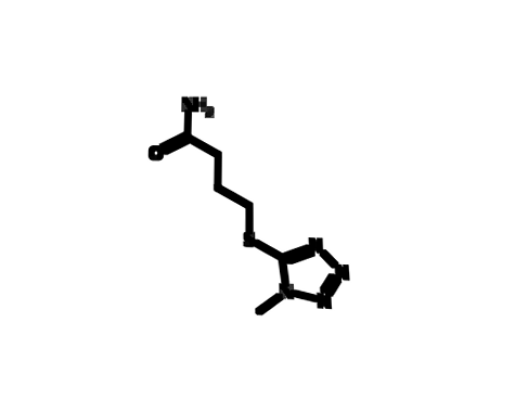 Cn1nnnc1SCCCC(N)=O